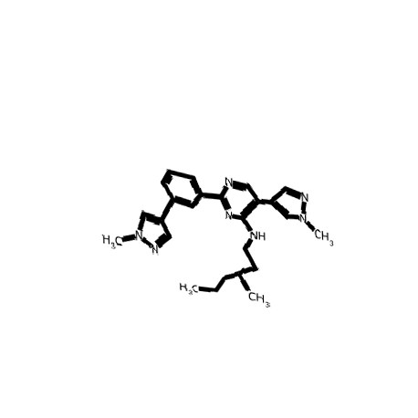 CCCC(C)CCNc1nc(-c2cccc(-c3cnn(C)c3)c2)ncc1-c1cnn(C)c1